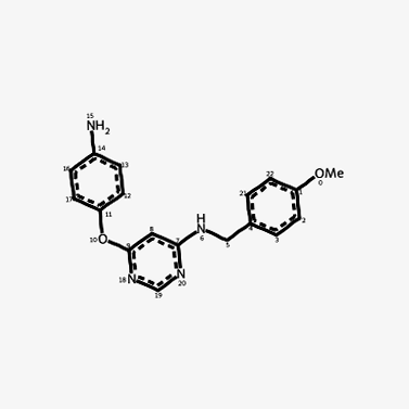 COc1ccc(CNc2cc(Oc3ccc(N)cc3)ncn2)cc1